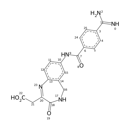 N=C(N)c1ccc(C(=O)Nc2ccc3c(c2)CNC(=O)C(CC(=O)O)=N3)cc1